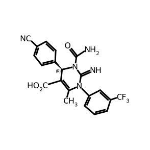 CC1=C(C(=O)O)[C@@H](c2ccc(C#N)cc2)N(C(N)=O)C(=N)N1c1cccc(C(F)(F)F)c1